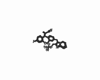 [2H]C([2H])([2H])OCc1nc2ccccn2c1Cc1ccc2c(c1)COc1cc(F)ccc1/C2=C(\C)C#N